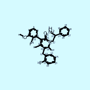 COc1cccc(-c2c(C)c(Cc3ccccc3F)c(C)n(CC(N)c3ccccc3)c2=O)c1F